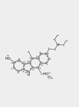 CCN(CC)CC[n+]1ccc2c(C)c3[nH]c4ccc(O)cc4c3c(C)c2c1.Cl.[Cl-]